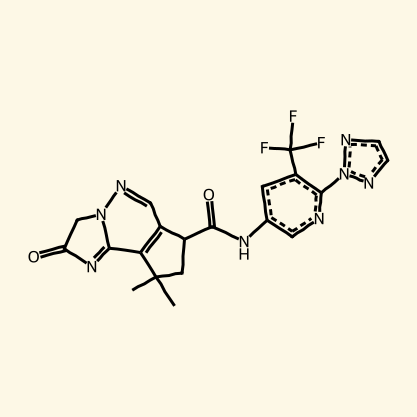 CC1(C)CC(C(=O)Nc2cnc(-n3nccn3)c(C(F)(F)F)c2)C2=C1C1=NC(=O)CN1N=C2